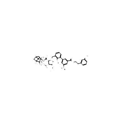 COc1cccc(CCNC(=O)c2cc(-c3cccc(CN4O[C@@H](CO)[C@H]([C@H](C)O)[C@H]4C(=O)N[C@H]4C[C@H]5C[C@@H]([C@@H]4C)C5(C)C)c3OC)cc(N(C)C)c2)c1